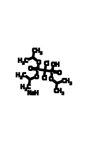 CC(C)OP(=O)(O)C(Cl)(Cl)P(=O)(OC(C)C)OC(C)C.[NaH]